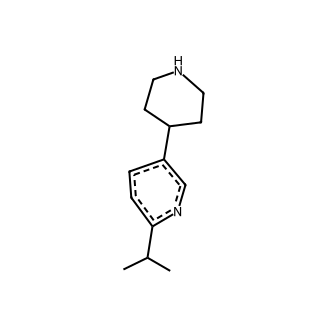 CC(C)c1ccc(C2CCNCC2)cn1